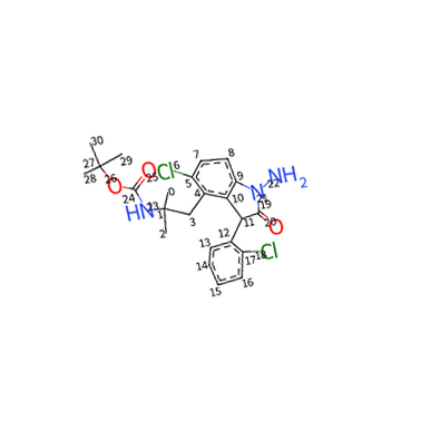 CC(C)(Cc1c(Cl)ccc2c1C(c1ccccc1Cl)C(=O)N2N)NC(=O)OC(C)(C)C